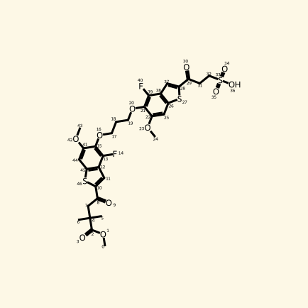 COC(=O)C(C)(C)CC(=O)c1cc2c(F)c(OCCCOc3c(OC)cc4sc(C(=O)CCS(=O)(=O)O)cc4c3F)c(OC)cc2s1